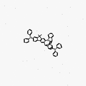 CC1(C)c2cc(N(c3ccccc3)c3ccccc3)ccc2-c2cc3c4cc5c6ccccc6n(c3cc21)c5c1c2ccc(cc2N(c2ccccc2)c2ccccc2)c41